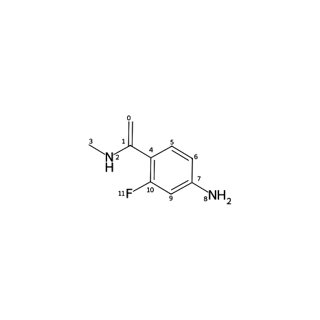 C=C(NC)c1ccc(N)cc1F